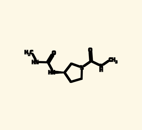 CNC(=O)N[C@@H]1CCN(C(=O)NC)C1